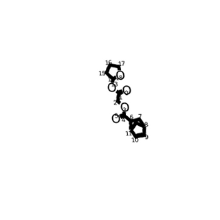 O=C(COC(=O)C1CC2C=CC1C2)OC1CCCO1